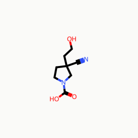 N#CC1(CCO)CCN(C(=O)O)C1